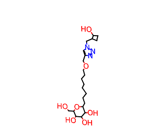 OCC1OC(CCCCCCCCOCc2cn(CC3CCC3O)nn2)C(O)C(O)C1O